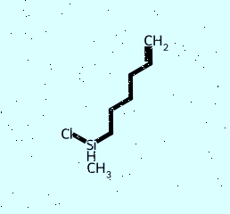 C=CCCCC[SiH](C)Cl